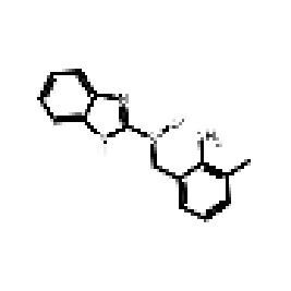 Cc1cccc(C[S+]([O-])c2nc3ccccc3[nH]2)c1N